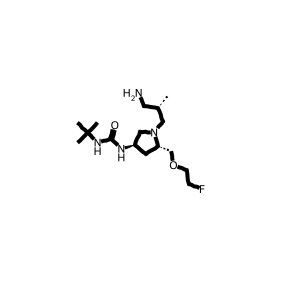 C[C@@H](CN)CN1C[C@H](NC(=O)NC(C)(C)C)C[C@H]1COCCF